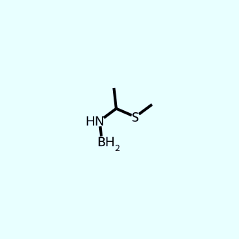 BNC(C)SC